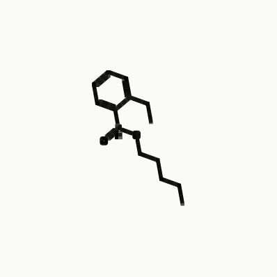 CCCCCO[PH](=O)c1ccccc1CC